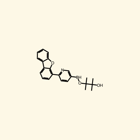 CC(C)(O)C(C)(C)OBc1ccc(-c2cccc3c2oc2ccccc23)nc1